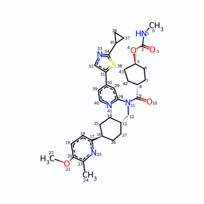 CNC(=O)O[C@H]1CC[C@H](C(=O)N(C[C@H]2CC[C@H](c3ccc(OC)c(C)n3)CC2)c2cc(-c3cnc(C4CC4)s3)ccn2)CC1